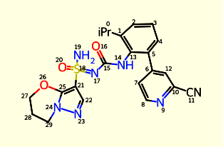 CC(C)c1cccc(-c2ccnc(C#N)c2)c1NC(=O)N=S(N)(=O)c1cnn2c1OCCC2